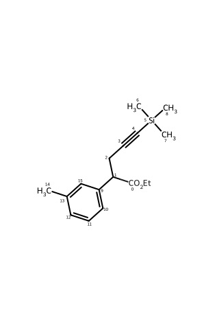 CCOC(=O)C(CC#C[Si](C)(C)C)c1cccc(C)c1